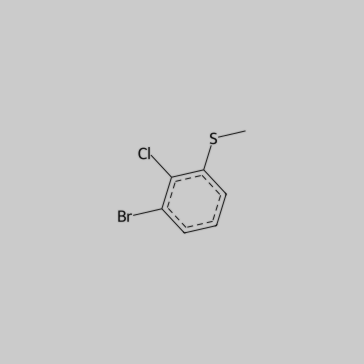 CSc1cccc(Br)c1Cl